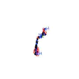 CNC(=O)COc1cc2cc(Nc3nc(N4CCC(O[C@H]5C[C@H](N6CCC7(CCN(c8ccc9c(c8)C(=O)N(C8CCC(=O)NC8=O)C9=O)CC7)CC6)C5)CC4)ncc3Cl)ccc2n(C(C)C)c1=O